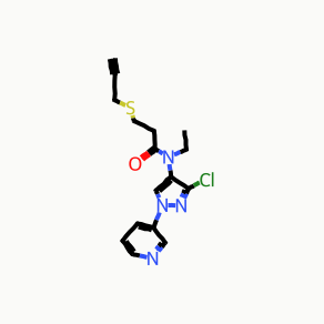 C#CCSCCC(=O)N(CC)c1cn(-c2cccnc2)nc1Cl